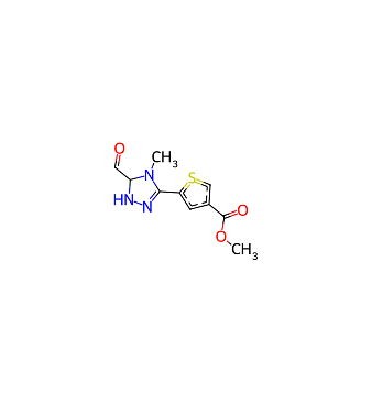 COC(=O)c1csc(C2=NNC(C=O)N2C)c1